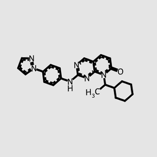 CC(C1CCCCC1)n1c(=O)ccc2cnc(Nc3ccc(-n4cccn4)cc3)nc21